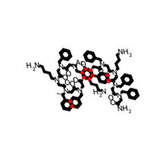 CC(=O)N(CC(=O)N(CC(=O)N(CCCCN)CC(=O)N(CC(=O)N(CC(=O)N(CCCCN)CC(=O)N(CC(=O)N(CC(=O)N(CCCCN)CC(=O)N(CC(=O)N(CC(N)=O)Cc1ccccc1)Cc1ccccc1)Cc1ccccc1)Cc1ccccc1)Cc1ccccc1)[C@@H](C)c1ccccc1)Cc1ccccc1)Cc1ccccc1